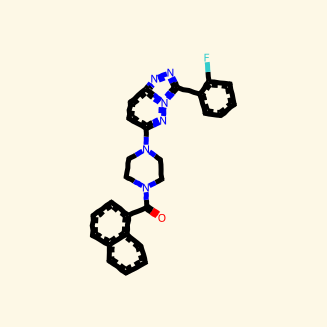 O=C(c1cccc2ccccc12)N1CCN(c2ccc3nnc(-c4ccccc4F)n3n2)CC1